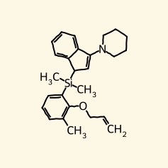 C=CCOc1c(C)cccc1[Si](C)(C)C1C=C(N2CCCCC2)c2ccccc21